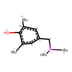 CCCCP(CCCC)Cc1cc(C(C)(C)C)c(O)c(C(C)(C)C)c1